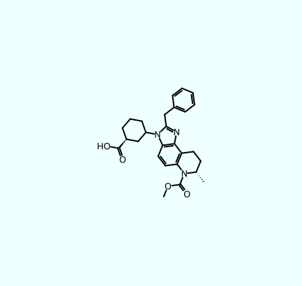 COC(=O)N1c2ccc3c(nc(Cc4ccccc4)n3C3CCC[C@H](C(=O)O)C3)c2CC[C@@H]1C